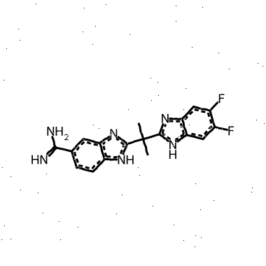 CC(C)(c1nc2cc(C(=N)N)ccc2[nH]1)c1nc2cc(F)c(F)cc2[nH]1